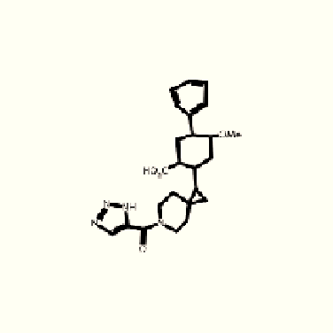 COC1CC(C2CC23CCN(C(=O)c2cnn[nH]2)CC3)C(C(=O)O)CC1c1ccccc1